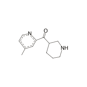 Cc1ccnc(C(=O)C2CCCNC2)c1